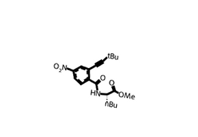 CCCC[C@H](NC(=O)c1ccc([N+](=O)[O-])cc1C#CC(C)(C)C)C(=O)OC